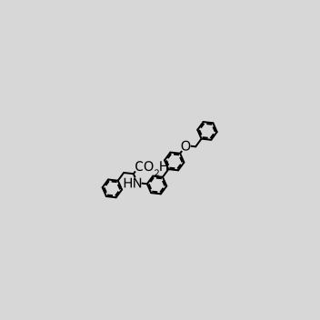 O=C(O)C(Cc1ccccc1)Nc1cccc(-c2ccc(OCc3ccccc3)cc2)c1